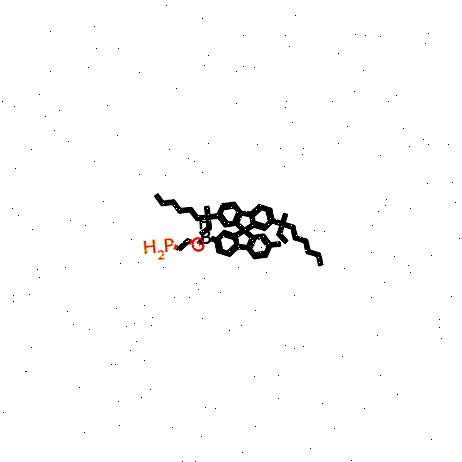 CCCCCCC(C)(CC)c1ccc2c(c1)C1(c3cc(C)ccc3-c3ccc(BOCCP)cc31)c1cc(C(C)(CC)CCCCCC)ccc1-2